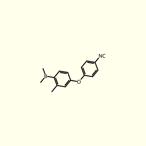 [C-]#[N+]c1ccc(Oc2ccc(B(C)C)c(C)c2)cc1